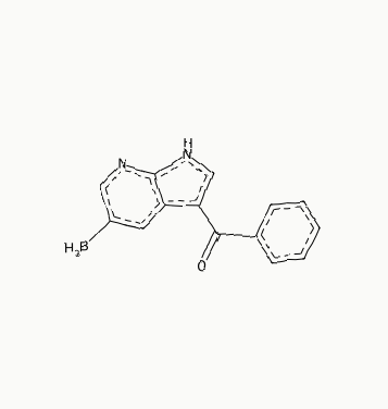 Bc1cnc2[nH]cc(C(=O)c3ccccc3)c2c1